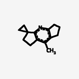 Cc1c2c(nc3c1CCC31CC1)CCC2